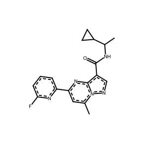 Cc1cc(-c2cccc(F)n2)nc2c(C(=O)NC(C)C3CC3)cnn12